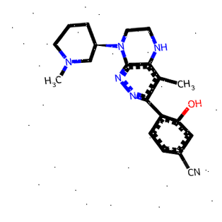 Cc1c(-c2ccc(C#N)cc2O)nnc2c1NCCN2[C@@H]1CCCN(C)C1